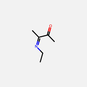 CC/N=C(/C)C(C)=O